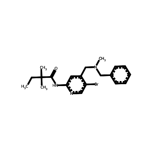 CCC(C)(C)C(=O)Nc1cc(CN(C)Cc2ccccc2)c(Br)cn1